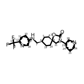 O=C1O[C@]2(CC[C@H](CNc3ccc(C(F)(F)F)nc3)CC2)CN1c1cccnc1